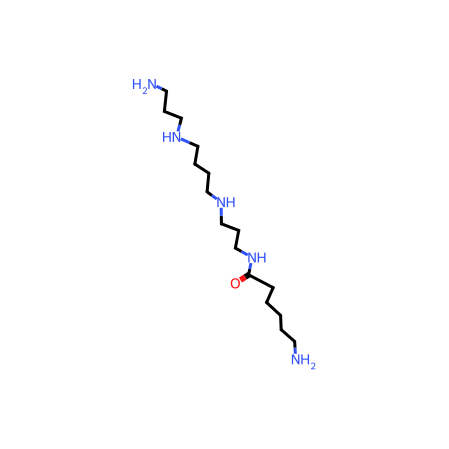 NCCCCCC(=O)NCCCNCCCCNCCCN